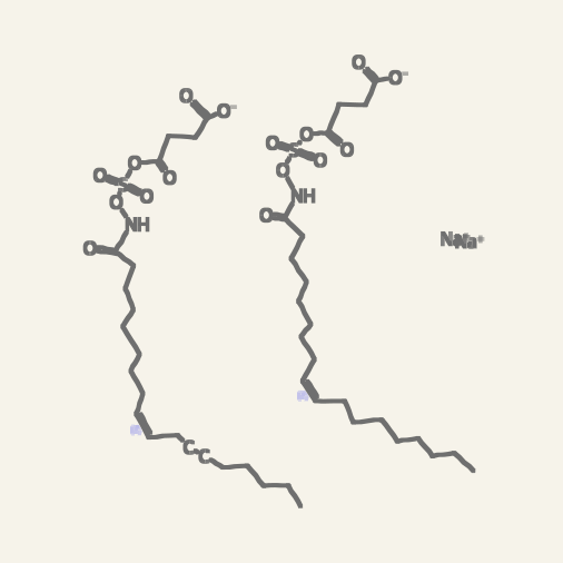 CCCCCCCC/C=C\CCCCCCCC(=O)NOS(=O)(=O)OC(=O)CCC(=O)[O-].CCCCCCCC/C=C\CCCCCCCC(=O)NOS(=O)(=O)OC(=O)CCC(=O)[O-].[Na+].[Na+]